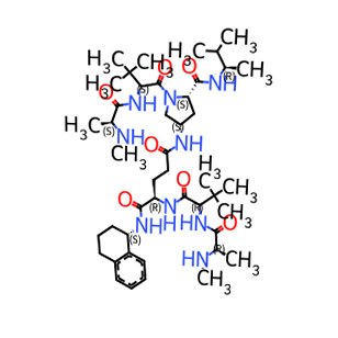 CN[C@@H](C)C(=O)N[C@H](C(=O)N1C[C@@H](NC(=O)CC[C@@H](NC(=O)[C@H](NC(=O)[C@@H](C)NC)C(C)(C)C)C(=O)N[C@H]2CCCc3ccccc32)C[C@H]1C(=O)N[C@H](C)C(C)C)C(C)(C)C